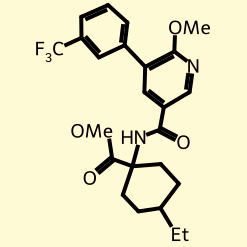 CCC1CCC(NC(=O)c2cnc(OC)c(-c3cccc(C(F)(F)F)c3)c2)(C(=O)OC)CC1